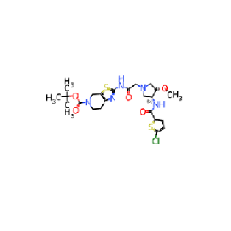 CO[C@H]1CN(CC(=O)Nc2nc3c(s2)CN(C(=O)OC(C)(C)C)CC3)C[C@@H]1NC(=O)c1ccc(Cl)s1